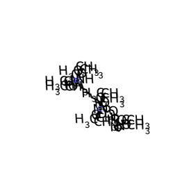 CC(C)(C)OC(=O)/N=C(\NCCCCCCCCN(C(=O)OC(C)(C)C)/C(=N/C(=O)OC(C)(C)C)N1CCC(Oc2ccc(C3=NCCCN3C(=O)OC(C)(C)C)cc2)CC1)NC(=O)OC(C)(C)C